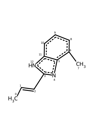 CC=Cc1nc2c(C)cccc2[nH]1